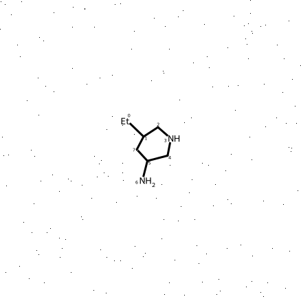 CCC1CNCC(N)C1